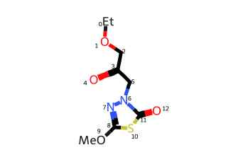 CCOCC(=O)Cn1nc(OC)sc1=O